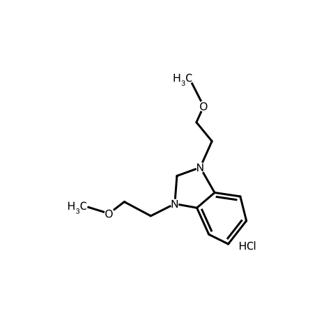 COCCN1CN(CCOC)c2ccccc21.Cl